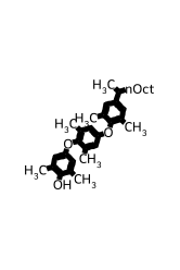 CCCCCCCCC(C)c1cc(C)c(Oc2cc(C)c(Oc3cc(C)c(O)c(C)c3)c(C)c2)c(C)c1